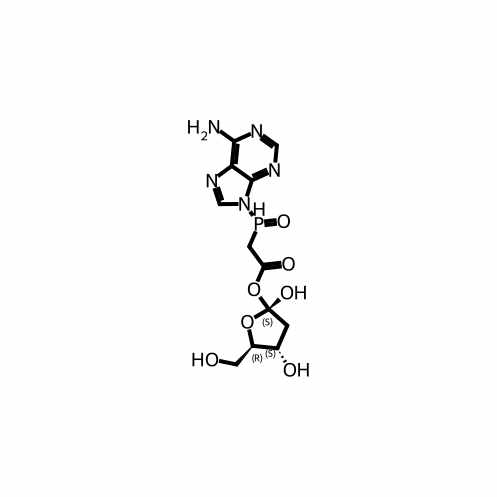 Nc1ncnc2c1ncn2[PH](=O)CC(=O)O[C@]1(O)C[C@H](O)[C@@H](CO)O1